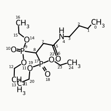 CCCCNC(=O)CC(P(=O)(OCC)OCC)P(=O)(OCC)OCC